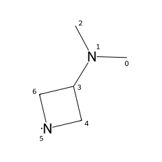 CN(C)C1C[N]C1